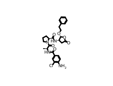 C[C@H](NC(=O)c1ccc(N)c(Cl)c1)C(=O)N1CCC[C@H]1C(=O)N[C@H]1CC(=O)O[C@H]1OCCc1ccccc1